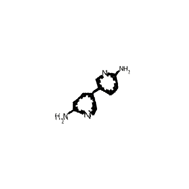 Nc1ccc(-c2ccc(N)nc2)cn1